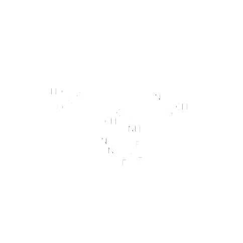 COc1cc(C(=O)Nc2c(C(F)(F)F)nn(Cc3ccc(S(C)(=O)=O)cc3)c2C)c2ccccc2n1